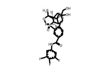 BC1(B)C2CC(O)(CO)C[C@@H]3C1(B)OB=S(=O)(c1cc(C(=O)Nc4cc(F)c(F)c(F)c4)ccc1Cl)[C@]23B